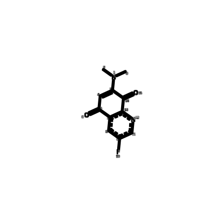 CN(C)C1=CC(=O)c2cc(F)cnc2C1=O